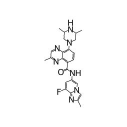 Cc1cnc2c(N3CC(C)NC(C)C3)ccc(C(=O)Nc3cc(F)c4nc(C)cn4c3)c2n1